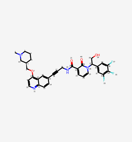 CN1CCC[C@@H](COc2ccnc3ccc(C#CCNC(=O)c4cccn(C(CO)c5cc(F)c(F)c(F)c5)c4=O)cc23)C1